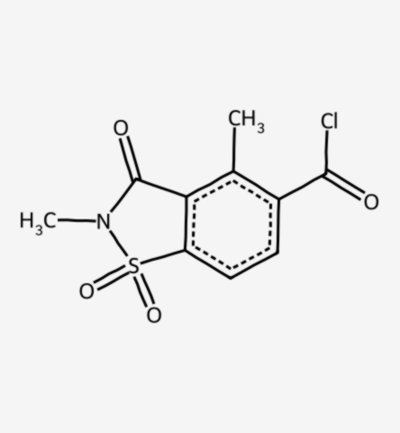 Cc1c(C(=O)Cl)ccc2c1C(=O)N(C)S2(=O)=O